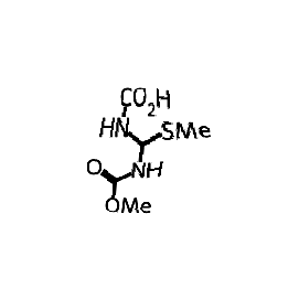 COC(=O)NC(NC(=O)O)SC